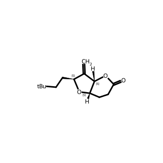 C=C1[C@H](CCC(C)(C)C)O[C@H]2CCC(=O)O[C@@H]12